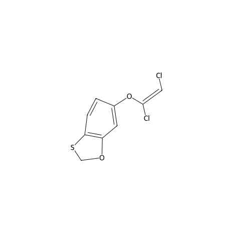 Cl/C=C(/Cl)Oc1ccc2c(c1)OCS2